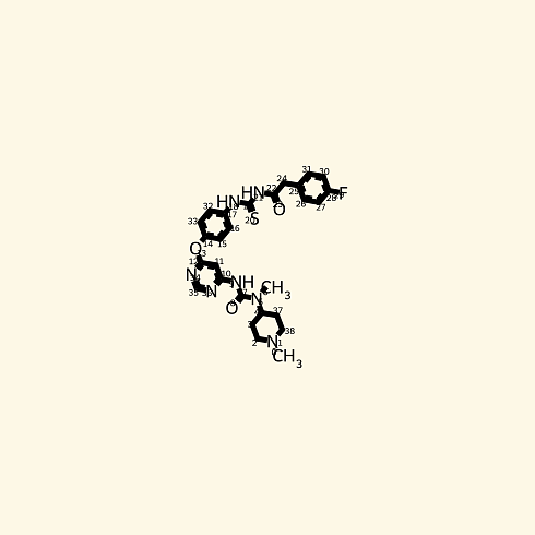 CN1CCC(N(C)C(=O)Nc2cc(Oc3ccc(NC(=S)NC(=O)Cc4ccc(F)cc4)cc3)ncn2)CC1